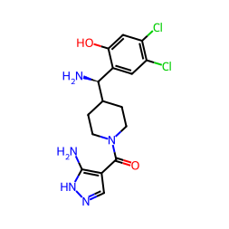 Nc1[nH]ncc1C(=O)N1CCC([C@@H](N)c2cc(Cl)c(Cl)cc2O)CC1